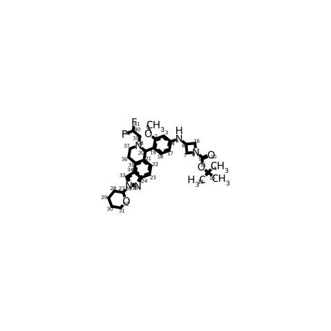 COc1cc(NC2CN(C(=O)OC(C)(C)C)C2)ccc1C1c2ccc3nn(C4CCCCO4)cc3c2CCN1CC(F)F